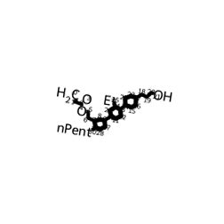 C=CC(=O)OCCc1cc(-c2ccc(-c3ccc(CCCO)cc3)c(CC)c2)ccc1CCCCC